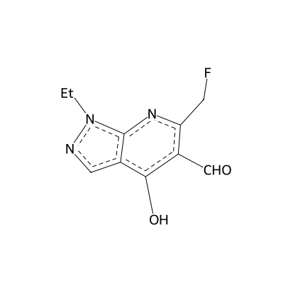 CCn1ncc2c(O)c(C=O)c(CF)nc21